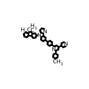 Cc1ccc(-c2cc(-c3ccncc3)cc(-c3ccc(-c4ccc5c(c4)c4ncccc4n5-c4ccc5c(c4)C(C)(C)c4ccccc4-5)cc3)n2)cc1